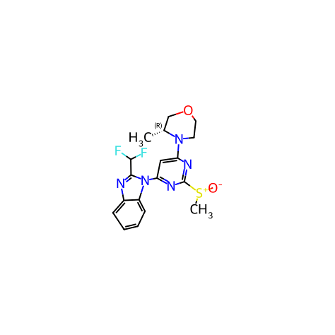 C[C@@H]1COCCN1c1cc(-n2c(C(F)F)nc3ccccc32)nc([S+](C)[O-])n1